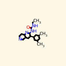 CCNC(=O)Nc1nc2ccncc2cc1-c1cc(C)cc(C)c1